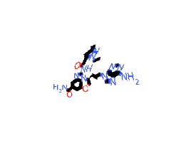 CCn1nc(C)cc1C(=O)Nc1nc2cc(C(N)=O)cc3c2n1[C@@H](CCCn1cnc2c(N)ncnc21)CO3